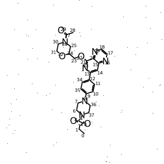 CCS(=O)(=O)N1CCN(c2ccc(-c3cc4nccnc4c(OCC4CN(C(C)=O)CCO4)n3)cc2)CC1